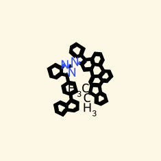 CC1(C)c2ccccc2-c2c1cc1c3cc4c(c5cccc(c6cccc2c61)c35)c1ccccc1n4-c1nc(-c2ccc(-c3cccc4ccccc34)cc2)c2ccccc2n1